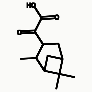 CC1C(C(=O)C(=O)O)CC2CC1C2(C)C